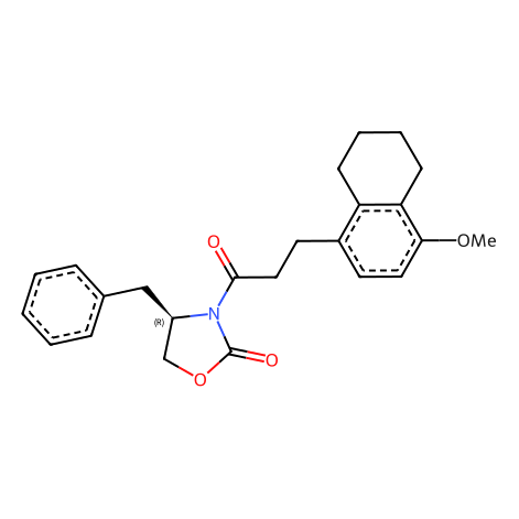 COc1ccc(CCC(=O)N2C(=O)OC[C@H]2Cc2ccccc2)c2c1CCCC2